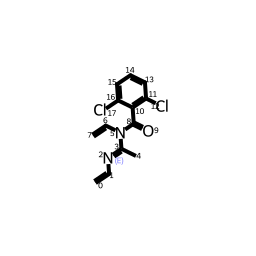 C=C/N=C(\C)N(C=C)C(=O)c1c(Cl)cccc1Cl